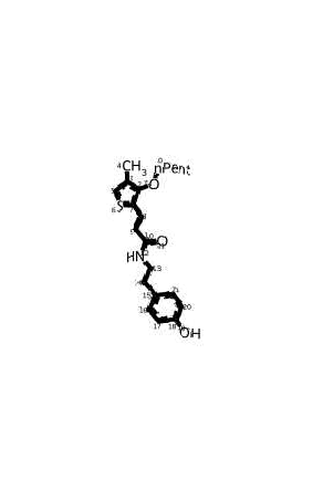 CCCCCOc1c(C)csc1C=CC(=O)NCCc1ccc(O)cc1